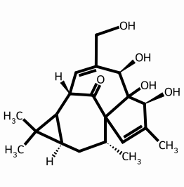 CC1=CC23C(=O)[C@@H](C=C(CO)[C@@H](O)C2(O)[C@H]1O)C1[C@@H](C[C@H]3C)C1(C)C